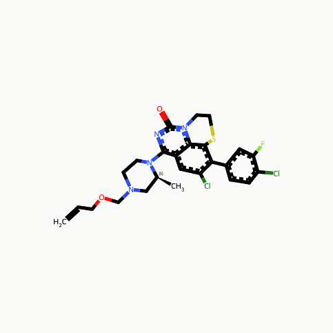 C=CCOCN1CCN(c2nc(=O)n3c4c(c(-c5ccc(Cl)c(F)c5)c(Cl)cc24)SCC3)[C@@H](C)C1